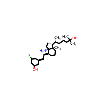 C[C@H](CCCC(C)(C)O)[C@H]1CC[C@@]2(N)/C(=C/C=C3/CC(O)CC(F)C3)CCC[C@]12C